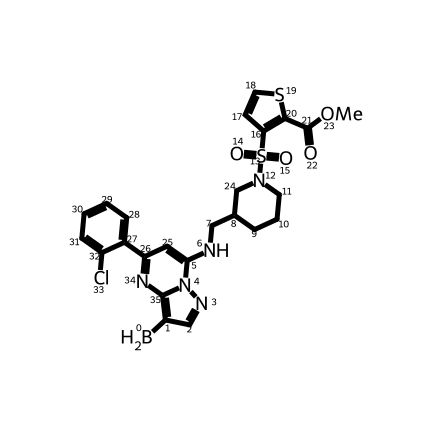 Bc1cnn2c(NCC3CCCN(S(=O)(=O)c4ccsc4C(=O)OC)C3)cc(-c3ccccc3Cl)nc12